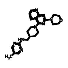 Cc1cnc(NCC2CCN(c3nc(N4CCOCC4)cc4ncccc34)CC2)nc1